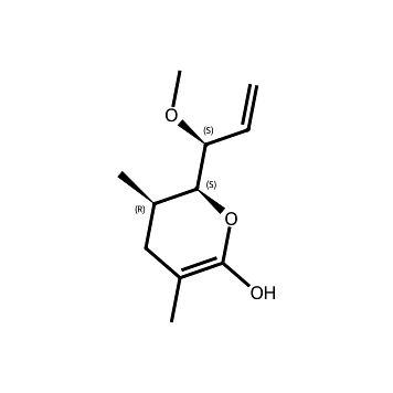 C=C[C@H](OC)[C@H]1OC(O)=C(C)C[C@H]1C